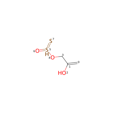 C=C(O)CO[SH](=O)=S